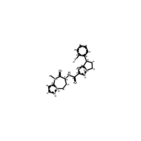 CN1C(=O)[C@@H](NC(=O)c2nc3n(n2)CCC3c2ccccc2F)CCn2nccc21